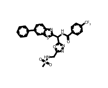 CS(=O)(=O)NCc1nnc(C(NC(=O)c2ccc(C(F)(F)F)cc2)c2nc3ccc(-c4ccccc4)cc3s2)o1